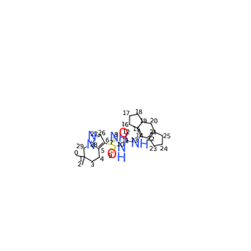 CC1(C)CCc2c(S(=N)(=O)NC(=O)NC3=C4CCCC4CC4=C3CCC4)cnn2C1